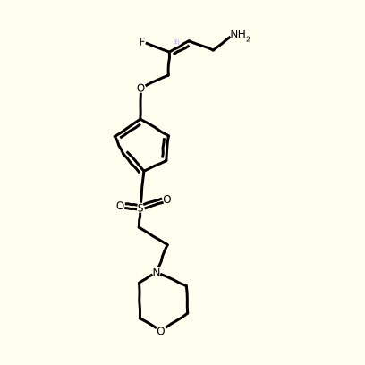 NC/C=C(/F)COc1ccc(S(=O)(=O)CCN2CCOCC2)cc1